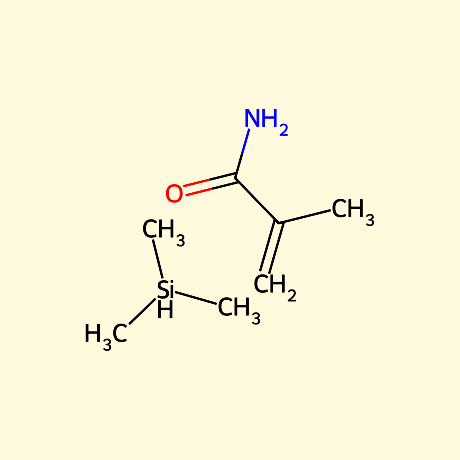 C=C(C)C(N)=O.C[SiH](C)C